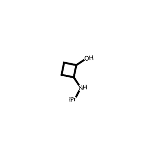 CC(C)NC1CCC1O